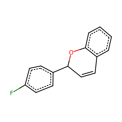 Fc1ccc(C2C=Cc3ccccc3O2)cc1